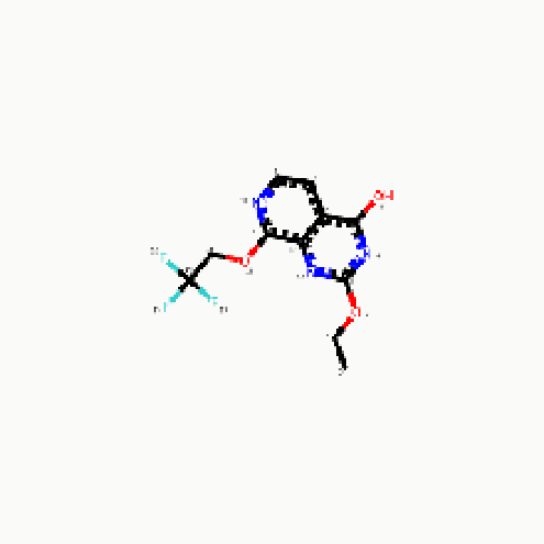 CCOc1nc(O)c2ccnc(OCC(F)(F)F)c2n1